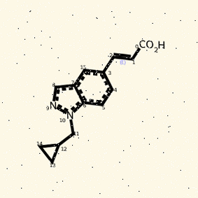 O=C(O)/C=C/c1ccc2c(cnn2CC2CC2)c1